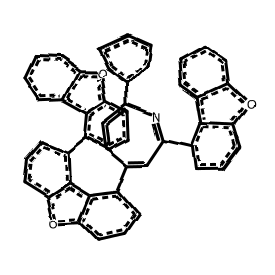 C1=CC(c2cccc3oc4cccc(-c5cccc6oc7ccccc7c56)c4c23)=CC(c2cccc3oc4ccccc4c23)=NC=1c1ccccc1